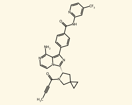 CC#CC(=O)N1CC2(CC2)C[C@H]1c1nc(-c2ccc(C(=O)Nc3cc(C(F)(F)F)ccn3)cc2)c2c(N)nccn12